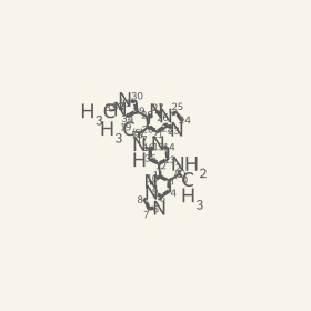 C[C@H](N)c1cc2nccn2nc1-c1ccnc(N[C@@H](C)c2cc3nccn3nc2-c2cnn(C)c2)c1